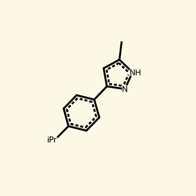 Cc1cc(-c2ccc(C(C)C)cc2)n[nH]1